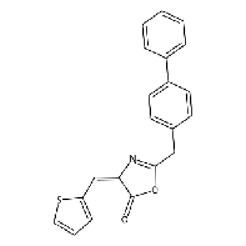 O=C1OC(Cc2ccc(-c3ccccc3)cc2)=N/C1=C/c1cccs1